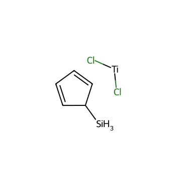 [Cl][Ti][Cl].[SiH3]C1C=CC=C1